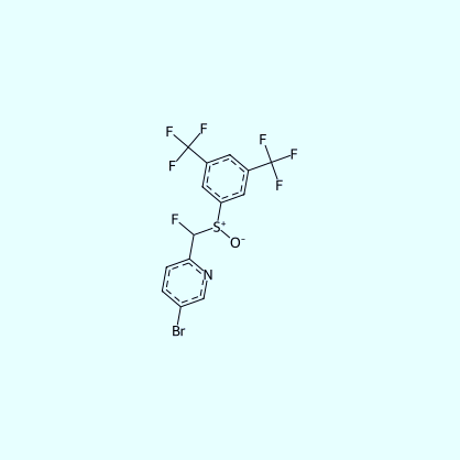 [O-][S+](c1cc(C(F)(F)F)cc(C(F)(F)F)c1)C(F)c1ccc(Br)cn1